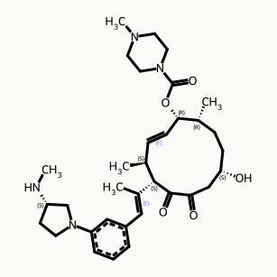 CN[C@H]1CCN(c2cccc(/C=C(\C)[C@H]3C(=O)C(=O)C[C@@H](O)CC[C@@H](C)[C@@H](OC(=O)N4CCN(C)CC4)/C=C/[C@@H]3C)c2)C1